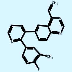 C=Cc1ncnc2ccc(-c3cccnc3-c3ccc(F)c(C)c3)cc12